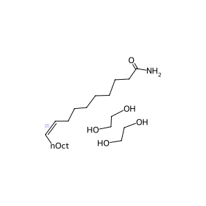 CCCCCCCC/C=C\CCCCCCCC(N)=O.OCCO.OCCO